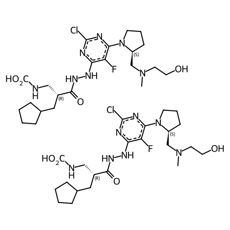 CN(CCO)C[C@@H]1CCCN1c1nc(Cl)nc(NNC(=O)[C@@H](CNC(=O)O)CC2CCCC2)c1F.CN(CCO)C[C@@H]1CCCN1c1nc(Cl)nc(NNC(=O)[C@@H](CNC(=O)O)CC2CCCC2)c1F